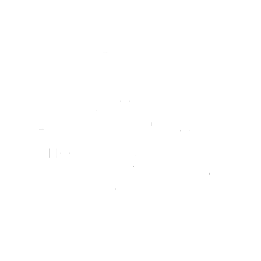 COC(=O)C12CCC(C(C(O)C(=O)c3c(F)cccc3F)C1=O)C2(C)C